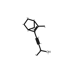 CC1=C(C#CC(C)O)C2CCC1C2